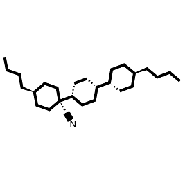 CCCC[C@H]1CC[C@H]([C@H]2CC[C@@H]([C@]3(C#N)CC[C@H](CCCC)CC3)CC2)CC1